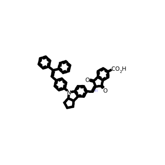 O=C(O)c1ccc2c(c1)C(=O)/C(=C/c1ccc3c(c1)C1CCCC1N3c1ccc(C=C(c3ccccc3)c3ccccc3)cc1)C2=O